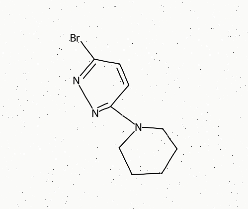 Brc1ccc(N2CCCCC2)nn1